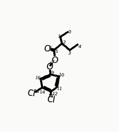 CCC(CC)C(=O)OOc1ccc(Cl)c(Cl)c1